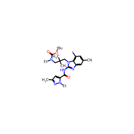 CCN(CC(C)(C)Cn1c(NC(=O)c2cc(C)nn2CC)nc2cc(C#N)cc(I)c21)C(=O)OC(C)(C)C